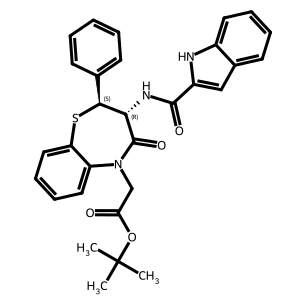 CC(C)(C)OC(=O)CN1C(=O)[C@@H](NC(=O)c2cc3ccccc3[nH]2)[C@H](c2ccccc2)Sc2ccccc21